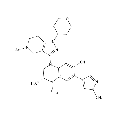 CC(=O)N1CCc2c(c(N3C[C@@H](C)N(C)c4cc(-c5cnn(C)c5)c(C#N)cc43)nn2C2CCOCC2)C1